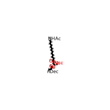 CCCCCCCCCCCCC(=O)O[C@@H](CO)COC(=O)CCCCCCCCCCCCNC(C)=O